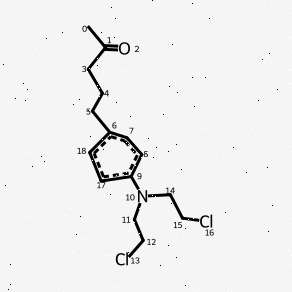 CC(=O)CCCc1ccc(N(CCCl)CCCl)cc1